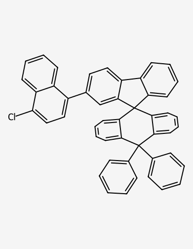 Clc1ccc(-c2ccc3c(c2)C2(c4ccccc4-3)c3ccccc3C(c3ccccc3)(c3ccccc3)c3ccccc32)c2ccccc12